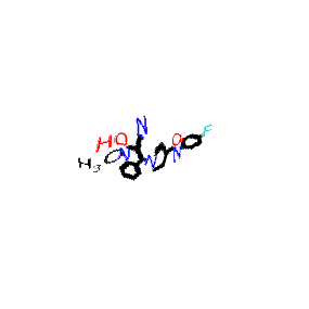 CN1c2ccccc2C(N2CCC(c3nc4ccc(F)cc4o3)CC2)=C(C#N)C1O